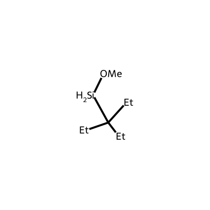 CCC(CC)(CC)[SiH2]OC